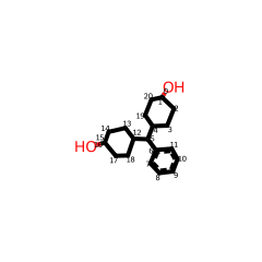 OC1CCC(C(c2ccccc2)C2CCC(O)CC2)CC1